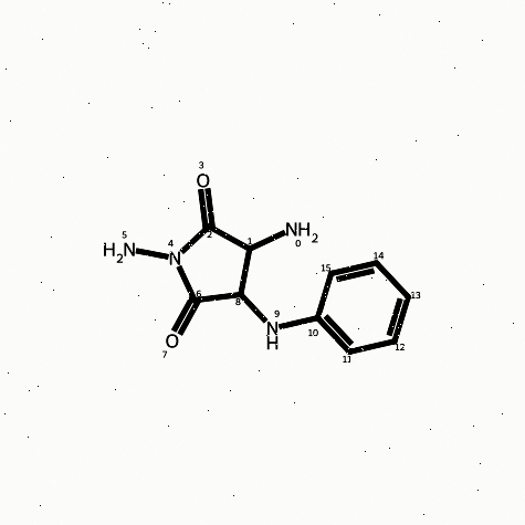 NC1C(=O)N(N)C(=O)C1Nc1ccccc1